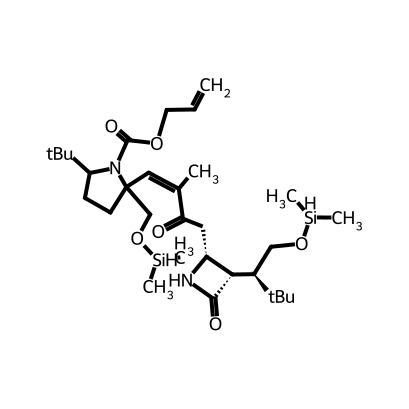 C=CCOC(=O)N1C(C(C)(C)C)CCC1(C=C(C)C(=O)C[C@H]1NC(=O)[C@H]1[C@@H](CO[SiH](C)C)C(C)(C)C)CO[SiH](C)C